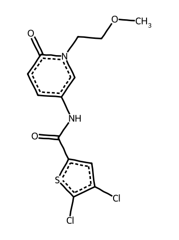 COCCn1cc(NC(=O)c2cc(Cl)c(Cl)s2)ccc1=O